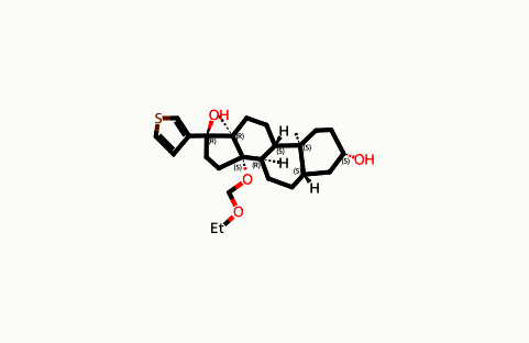 CCOCO[C@]12CC[C@](O)(c3ccsc3)[C@@]1(C)CC[C@H]1[C@H]2CC[C@H]2C[C@@H](O)CC[C@@]21C